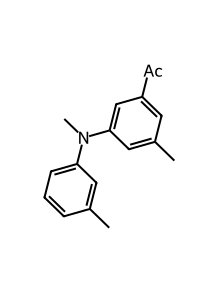 CC(=O)c1cc(C)cc(N(C)c2cccc(C)c2)c1